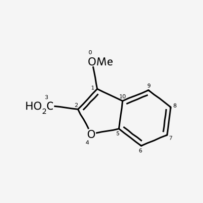 COc1c(C(=O)O)oc2ccccc12